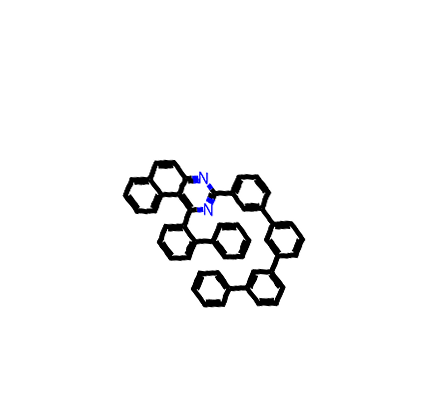 c1ccc(-c2cccc(-c3cccc(-c4cccc(-c5nc(-c6ccccc6-c6ccccc6)c6c(ccc7ccccc76)n5)c4)c3)c2)cc1